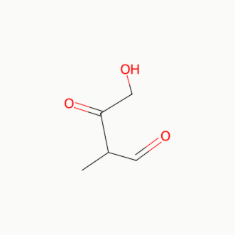 CC(C=O)C(=O)CO